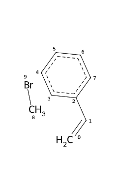 C=Cc1ccccc1.CBr